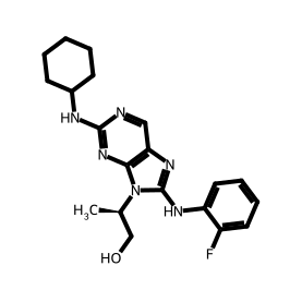 C[C@H](CO)n1c(Nc2ccccc2F)nc2cnc(NC3CCCCC3)nc21